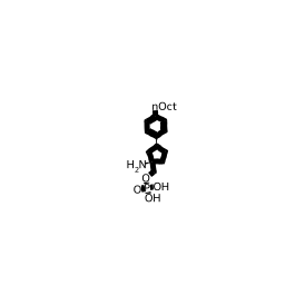 CCCCCCCCc1ccc([C@@H]2CC[C@@](N)(COP(=O)(O)O)C2)cc1